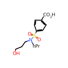 CCCN(CCCO)S(=O)(=O)c1ccc(C(=O)O)cc1